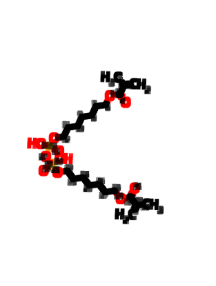 C=C(C)C(=O)OCCCCCCCOP(=O)(O)OP(=O)(O)OCCCCCCCOC(=O)C(=C)C